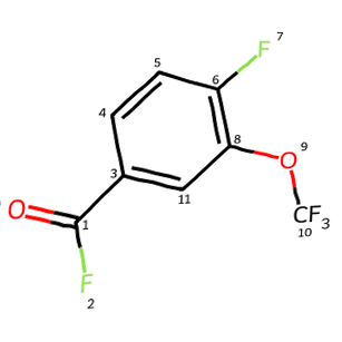 O=C(F)c1ccc(F)c(OC(F)(F)F)c1